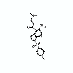 Cc1ccc(S(=O)(=O)n2ccc3c(C(=O)/C=C/N(C)C)c(N)cnc32)cc1